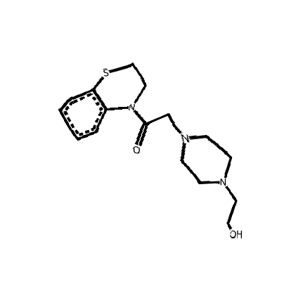 O=C(CN1CCN(CCO)CC1)N1CCSc2ccccc21